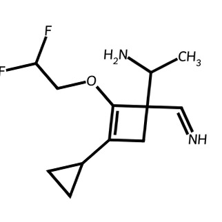 CC(N)C1(C=N)CC(C2CC2)=C1OCC(F)F